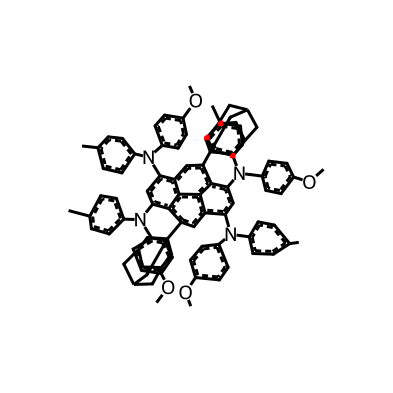 COc1ccc(N(c2ccc(C)cc2)c2cc(N(c3ccc(C)cc3)c3ccc(OC)cc3)c3c(C45CC6CC(CC(C6)C4)C5)cc4c(N(c5ccc(C)cc5)c5ccc(OC)cc5)cc(N(c5ccc(C)cc5)c5ccc(OC)cc5)c5c(C67CC8CC(CC(C8)C6)C7)cc2c3c45)cc1